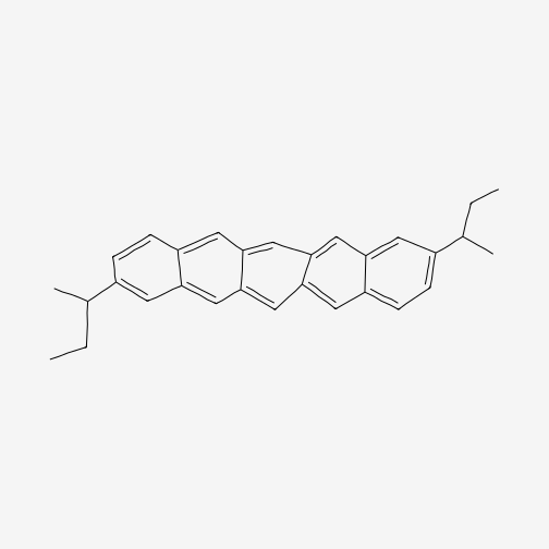 CCC(C)c1ccc2cc3cc4cc5cc(C(C)CC)ccc5cc4cc3cc2c1